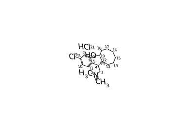 CN(C)CC(c1ccc(Cl)cc1)[C@H]1CCCCCCC1O.Cl